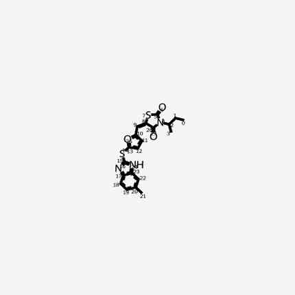 CCC(C)N1C(=O)SC(=Cc2ccc(Sc3nc4ccc(C)cc4[nH]3)o2)C1=O